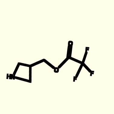 O=C(OCC1CNC1)C(F)(F)F